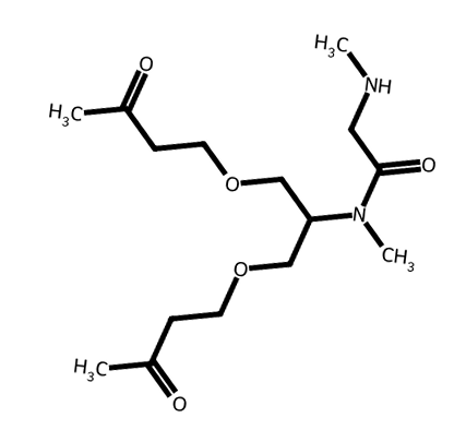 CNCC(=O)N(C)C(COCCC(C)=O)COCCC(C)=O